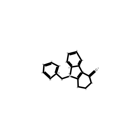 O=C1CCCc2c1c1ccccc1n2Cc1ccccc1